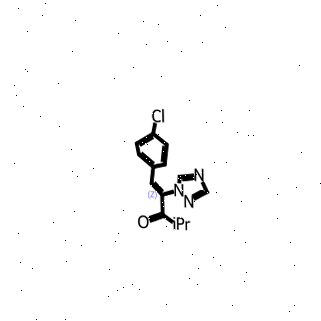 CC(C)C(=O)/C(=C/c1ccc(Cl)cc1)n1cncn1